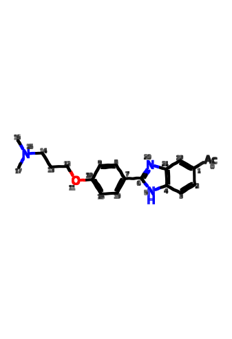 CC(=O)c1ccc2[nH]c(-c3ccc(OCCCN(C)C)cc3)nc2c1